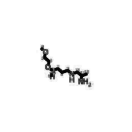 COCCO[SiH](C)CCCNCC(C)N